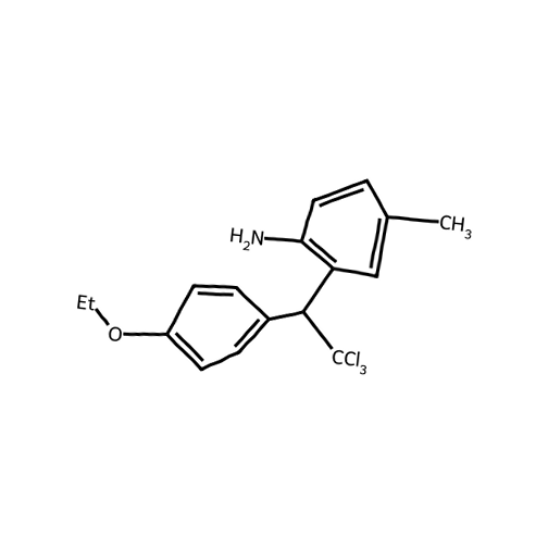 CCOc1ccc(C(c2cc(C)ccc2N)C(Cl)(Cl)Cl)cc1